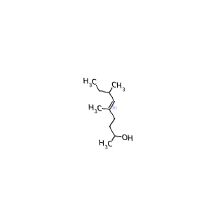 CCC(C)/C=C(\C)CCC(C)O